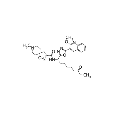 CCC(=O)CCCCC[C@H](NC(=O)C1=NOC2(CCN(C)CC2)C1)c1nnc(-c2cc3ccccc3nc2OC)o1